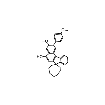 COc1ccc(-c2cc3c4c(cc(O)c3cc2OC)C2(CCCCCCC2)c2ccccc2-4)cc1